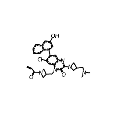 C=CC(=O)N1CC(Cn2c(=O)c(N3CC(CN(C)C)C3)nc3cc(-c4cc(O)cc5ccccc45)c(Cl)cc32)C1